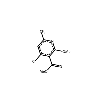 COC(=O)c1c(Cl)cc(C(F)(F)F)nc1OC